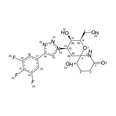 O=C1CCCC2(N1)O[C@H](CO)[C@H](O)[C@H](n1cc(-c3cc(F)c(F)c(F)c3)nn1)[C@H]2O